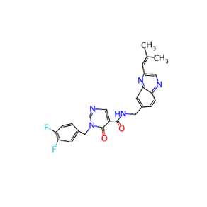 CC(C)=Cc1cnc2ccc(CNC(=O)c3cncn(Cc4ccc(F)c(F)c4)c3=O)cc2n1